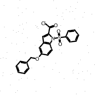 O=C(Cl)c1cc2cc(OCc3ccccc3)ccc2n1S(=O)(=O)c1ccccc1